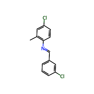 Cc1cc(Cl)ccc1N=Cc1cccc(Cl)c1